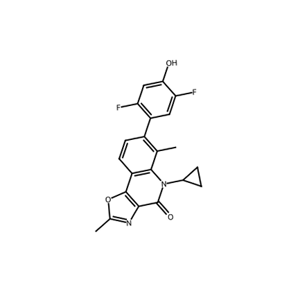 Cc1nc2c(=O)n(C3CC3)c3c(C)c(-c4cc(F)c(O)cc4F)ccc3c2o1